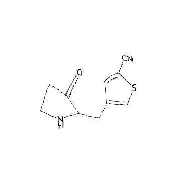 N#Cc1cc(CC2NCCC2=O)cs1